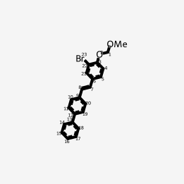 COCOc1ccc(/C=C/c2ccc(-c3ccccc3)cc2)cc1Br